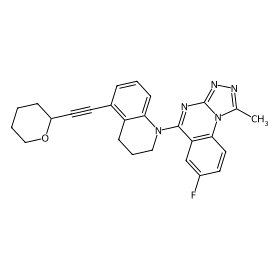 Cc1nnc2nc(N3CCCc4c(C#CC5CCCCO5)cccc43)c3cc(F)ccc3n12